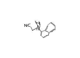 N#CCNc1cccc2ccccc12